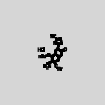 CCCCOC1=C(CN)N(CC(C)C)C=C2CC(=O)C(c3nc(C#N)cs3)C=C21.Cl